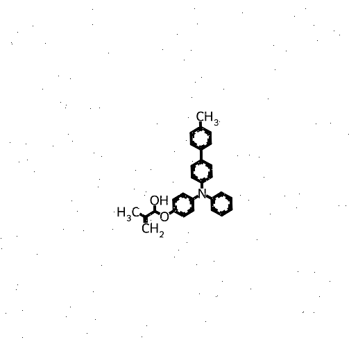 C=C(C)C(O)Oc1ccc(N(c2ccccc2)c2ccc(-c3ccc(C)cc3)cc2)cc1